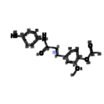 COc1cc(/C=C/C(=O)Nc2ccc(S)cc2)ccc1OC(C)=O